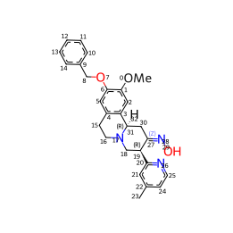 COc1cc2c(cc1OCc1ccccc1)CCN1C[C@H](c3cc(C)ccn3)/C(=N\O)C[C@H]21